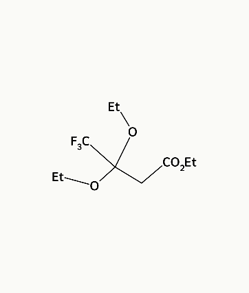 CCOC(=O)CC(OCC)(OCC)C(F)(F)F